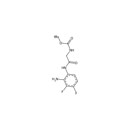 CC(C)(C)OC(=O)NCC(=O)Nc1ccc(F)c(F)c1N